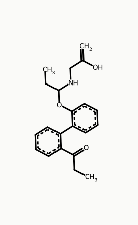 C=C(O)CNC(CC)Oc1ccccc1-c1ccccc1C(=O)CC